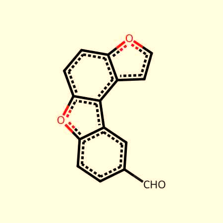 O=Cc1ccc2oc3ccc4occc4c3c2c1